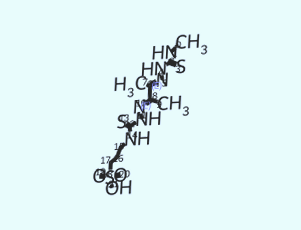 CNC(=S)N/N=C(C)/C(C)=N/NC(=S)NCCCS(=O)(=O)O